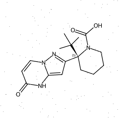 CC(C)(C)[C@]1(c2cc3[nH]c(=O)ccn3n2)CCCCN1C(=O)O